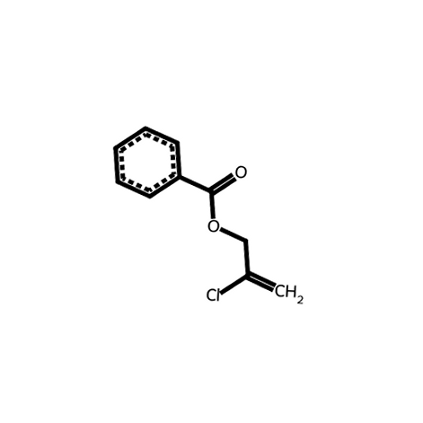 C=C(Cl)COC(=O)c1ccccc1